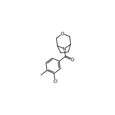 Cc1ccc(C(=O)N2C3CCC2COC3)cc1Cl